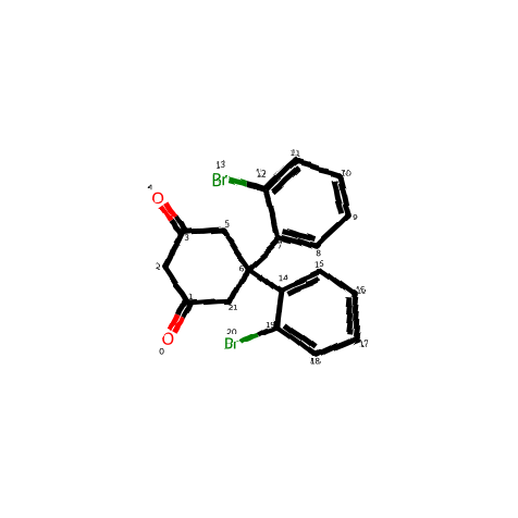 O=C1CC(=O)CC(c2ccccc2Br)(c2ccccc2Br)C1